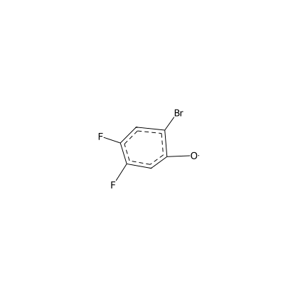 [O]c1cc(F)c(F)cc1Br